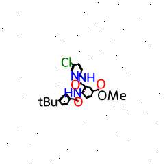 COC(=O)c1ccc(NC(=O)c2ccc(C(C)(C)C)cc2)c(C(=O)Nc2ccc(Cl)cn2)c1